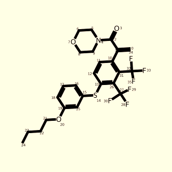 C=C(C(=O)N1CCOCC1)c1ccc(Sc2cccc(OCCCC)c2)c(C(F)(F)F)c1C(F)(F)F